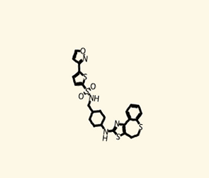 O=S(=O)(NCC1CCC(Nc2nc3c(s2)CCSc2ccccc2-3)CC1)c1ccc(-c2ccon2)s1